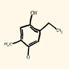 CCc1cc(Cl)c(C)cc1O